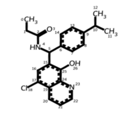 CCC(=O)NC(c1ccc(C(C)C)cc1)c1cc(Cl)c2cccnc2c1O